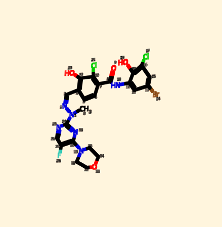 CN(/N=C\c1ccc(C(=O)Nc2cc(Br)cc(Cl)c2O)c(Cl)c1O)c1ncc(F)c(N2CCOCC2)n1